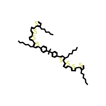 CCCCCCc1ccsc1-c1ccc(-c2ccc(-c3sc(-c4ccc(C(C)(C)c5ccc(-c6cc(CCCCCC)c(-c7ccc(-c8ccc(-c9sccc9CCCCCC)s8)s7)s6)cc5)cc4)cc3CCCCCC)s2)s1